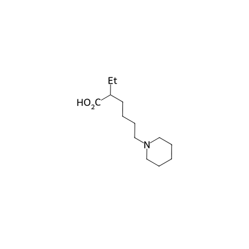 CCC(CCCCN1CCCCC1)C(=O)O